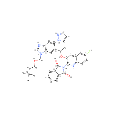 CC(Oc1cc2cc(F)ccc2nc1N1C(=O)c2ccccc2C1=O)c1cc2c(cc1-n1cccn1)ncn2COCC[Si](C)(C)C